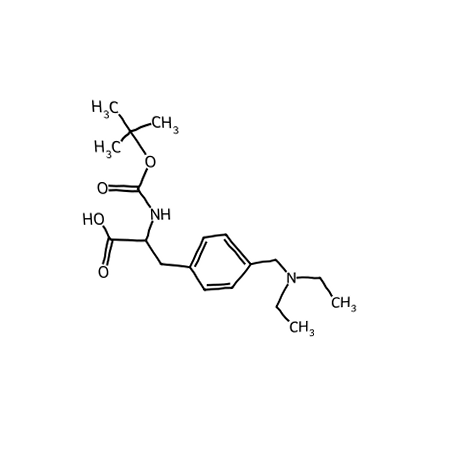 CCN(CC)Cc1ccc(CC(NC(=O)OC(C)(C)C)C(=O)O)cc1